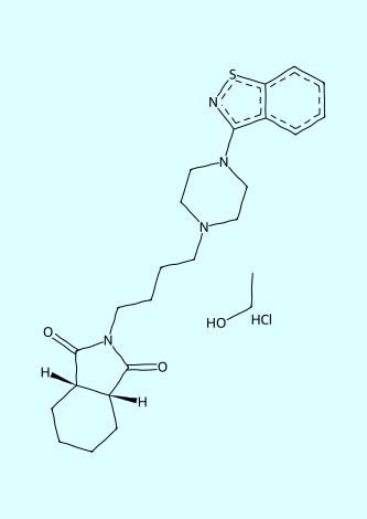 CCO.Cl.O=C1[C@H]2CCCC[C@H]2C(=O)N1CCCCN1CCN(c2nsc3ccccc23)CC1